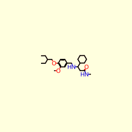 CCC(CC)COc1ccc(CNC(CC(=O)NC)C2CCCCC2)cc1OC